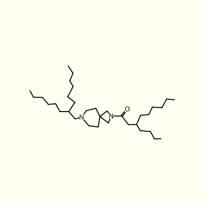 CCCCCCC(CCCC)CC(=O)N1CC2(CCN(CC(CCCCCC)CCCCCC)CC2)C1